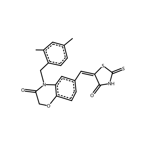 Cc1ccc(CN2C(=O)COc3ccc(C=C4SC(=S)NC4=O)cc32)c(C)c1